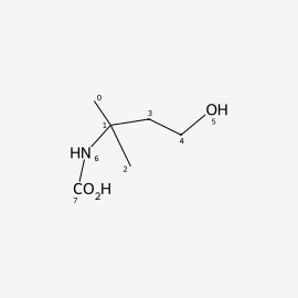 CC(C)(CCO)NC(=O)O